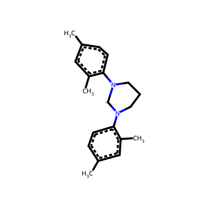 Cc1ccc(N2[C]N(c3ccc(C)cc3C)CCC2)c(C)c1